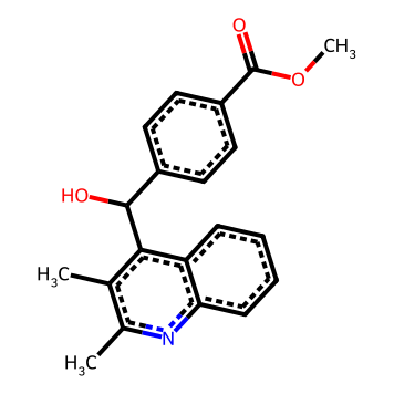 COC(=O)c1ccc(C(O)c2c(C)c(C)nc3ccccc23)cc1